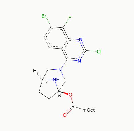 CCCCCCCCC(=O)O[C@]12CC[C@@H](CN(c3nc(Cl)nc4c(F)c(Br)ccc34)C1)N2